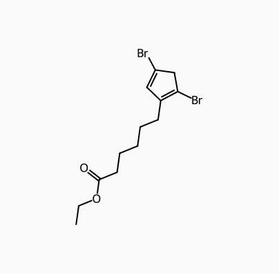 CCOC(=O)CCCCCC1=C(Br)CC(Br)=C1